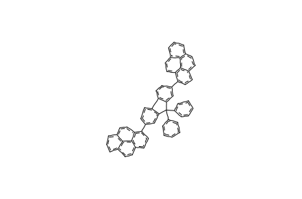 c1ccc(C2(c3ccccc3)c3cc(-c4ccc5ccc6cccc7ccc4c5c67)ccc3-c3ccc(-c4ccc5ccc6cccc7ccc4c5c67)cc32)cc1